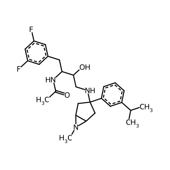 CC(=O)NC(Cc1cc(F)cc(F)c1)C(O)CNC1(c2cccc(C(C)C)c2)CC2C(C1)N2C